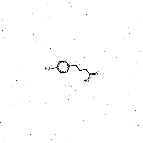 Nc1ccc(CCC[PH](=O)O)cc1